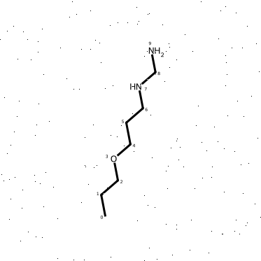 CCCOCCCN[CH]N